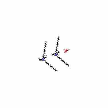 CCCCCCCCCCCCCCCC[N+](CCCC)(CCCC)CCCCCCCCCCCCCCCC.CCCCCCCCCCCCCCCC[N+](CCCC)(CCCC)CCCCCCCCCCCCCCCC.[H+].[O-]P([O-])[O-]